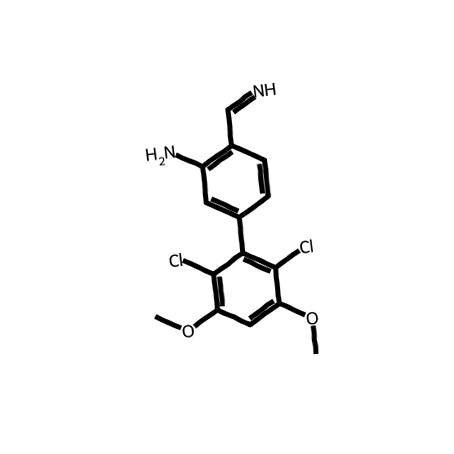 COc1cc(OC)c(Cl)c(-c2ccc(C=N)c(N)c2)c1Cl